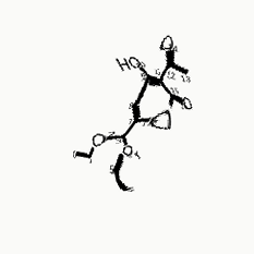 CCOC(OCC)c1cc(O)c(C(C)=O)c(=O)o1